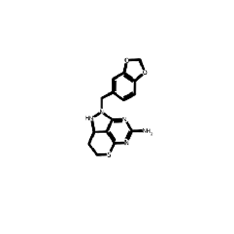 Nc1nc2c3c(n1)N(Cc1ccc4c(c1)OCO4)NC3CCS2